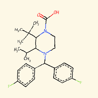 CC(C)C1C(C(C)(C)C)N(C(=O)O)CCN1C(c1ccc(F)cc1)c1ccc(F)cc1